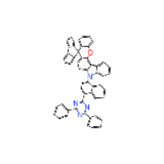 c1ccc(-c2nc(-c3ccccc3)nc(-c3ccc(-n4c5ccccc5c5c6c(ccc54)C4(c5ccccc5O6)c5ccccc5-c5ccccc54)c4ccccc34)n2)cc1